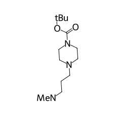 CNCCCN1CCN(C(=O)OC(C)(C)C)CC1